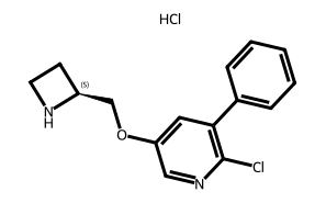 Cl.Clc1ncc(OC[C@@H]2CCN2)cc1-c1ccccc1